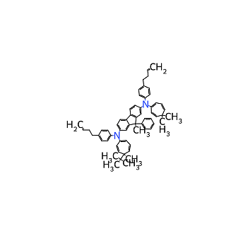 C=CCCc1ccc(N(C2=CC=CC(C)(C)C=C2)c2ccc3c(c2)C(C)(c2ccccc2)c2cc(N(C4=CC=CC(C)(C(C)(C)C)C=C4)c4ccc(CCC=C)cc4)ccc2-3)cc1